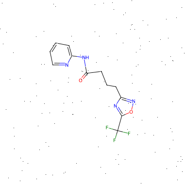 O=C(CCCc1noc(C(F)(F)F)n1)Nc1ccccn1